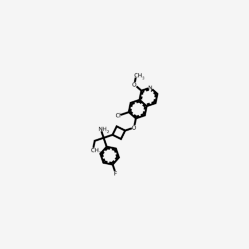 CCC(N)(c1ccc(F)cc1)C1CC(Oc2cc3ccnc(OC)c3cc2Cl)C1